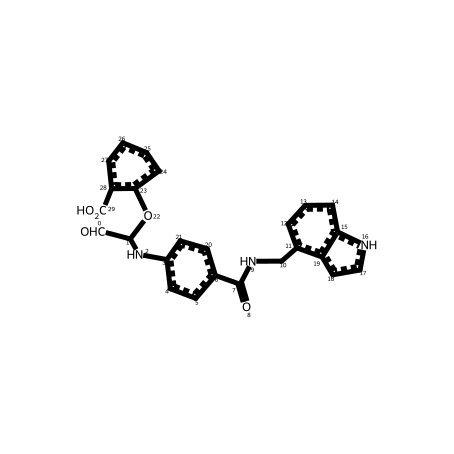 O=CC(Nc1ccc(C(=O)NCc2cccc3[nH]ccc23)cc1)Oc1ccccc1C(=O)O